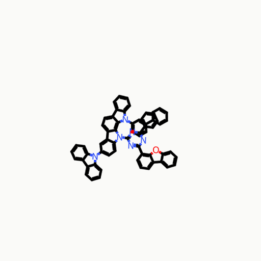 c1ccc(-c2cccc(-n3c4ccccc4c4ccc5c6cc(-n7c8ccccc8c8ccccc87)ccc6n(-c6nc(-c7ccccc7)nc(-c7cccc8c7oc7ccccc78)n6)c5c43)c2)cc1